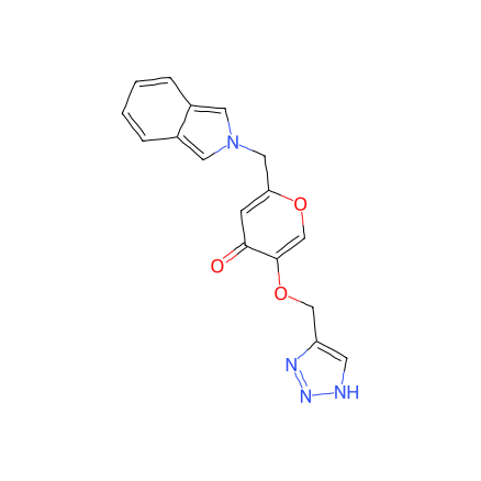 O=c1cc(Cn2cc3ccccc3c2)occ1OCc1c[nH]nn1